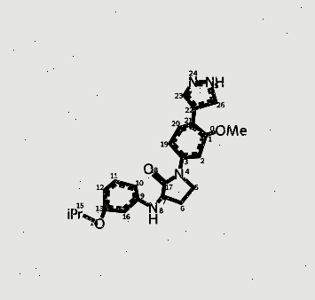 COc1cc(N2CCC(Nc3cccc(OC(C)C)c3)C2=O)ccc1-c1cn[nH]c1